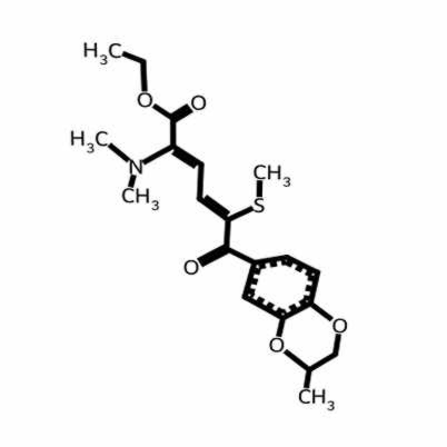 CCOC(=O)C(=CC=C(SC)C(=O)c1ccc2c(c1)OC(C)CO2)N(C)C